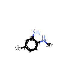 CC(C)Nc1ccc(C#N)cc1N